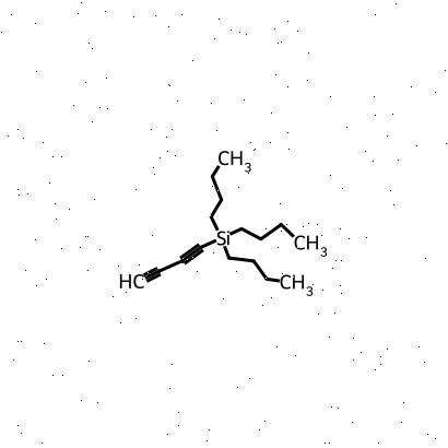 C#CC#C[Si](CCCC)(CCCC)CCCC